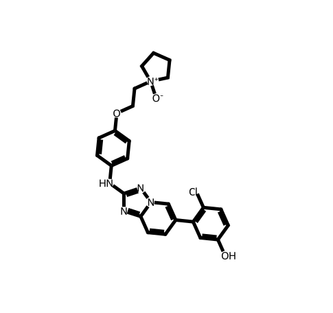 [O-][N+]1(CCOc2ccc(Nc3nc4ccc(-c5cc(O)ccc5Cl)cn4n3)cc2)CCCC1